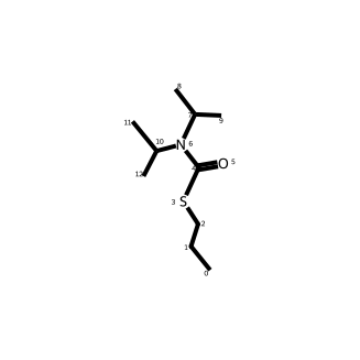 CCCSC(=O)N(C(C)C)C(C)C